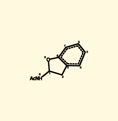 CC(=O)NC1Cc2ccccc2O1